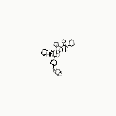 O=C(NC1CCCCC1)C(=O)C1CCCN1C(=O)[C@H](Cc1ccccc1)NC(=O)c1ccc(CN2CCOCC2)cc1